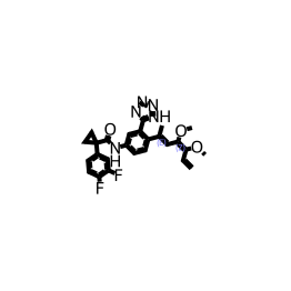 C=C/C(OC)=C(\C=C(/C)c1ccc(NC(=O)C2(c3ccc(F)c(F)c3)CC2)cc1-c1nnn[nH]1)OC